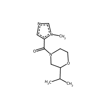 CC(C)C1CN(C(=O)c2cncn2C)CCO1